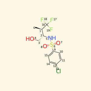 C[C@H]([C@@H](CO)NS(=O)(=O)c1ccc(Cl)cc1)C(F)(F)F